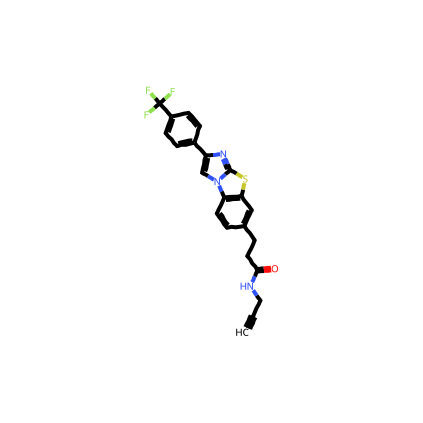 C#CCNC(=O)CCc1ccc2c(c1)sc1nc(-c3ccc(C(F)(F)F)cc3)cn12